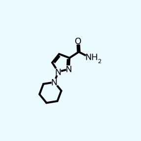 NC(=O)c1ccn(N2CCCCC2)n1